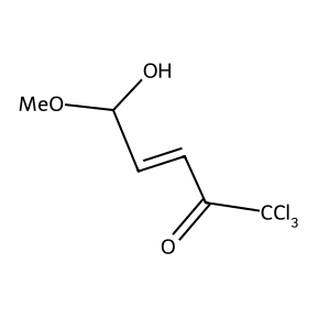 COC(O)C=CC(=O)C(Cl)(Cl)Cl